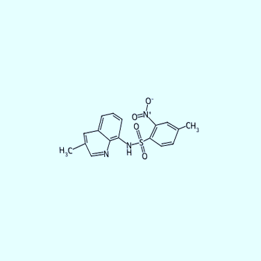 Cc1ccc(S(=O)(=O)Nc2cccc3cc(C)cnc23)c([N+](=O)[O-])c1